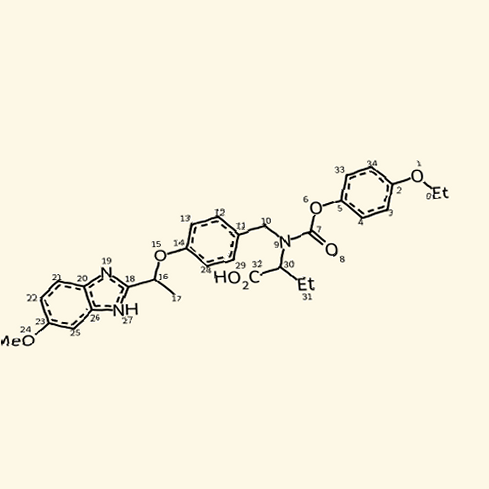 CCOc1ccc(OC(=O)N(Cc2ccc(OC(C)c3nc4ccc(OC)cc4[nH]3)cc2)C(CC)C(=O)O)cc1